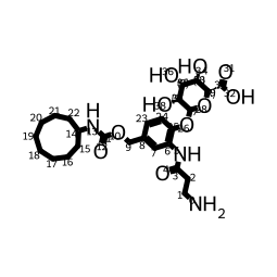 NCCC(=O)Nc1cc(COC(=O)NC2CCCCCCCC2)ccc1OC1O[C@@H](C(=O)O)[C@H](O)[C@@H](O)[C@@H]1O